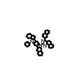 c1ccc(-n2c3cc4c5cc6ccccc6cc5n(-c5nc(-c6ccc7ccccc7c6)c6ccc7ccccc7c6n5)c4cc3c3ccc4ccccc4c32)cc1